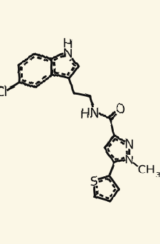 Cn1nc(C(=O)NCCc2c[nH]c3ccc(Cl)cc23)cc1-c1cccs1